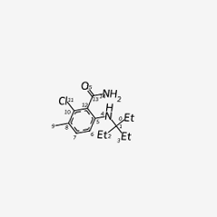 CCC(CC)(CC)Nc1ccc(C)c(Cl)c1C(N)=O